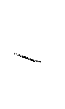 [CH]=CC=CC=CC=CCCCCCCCCCCCCCCC